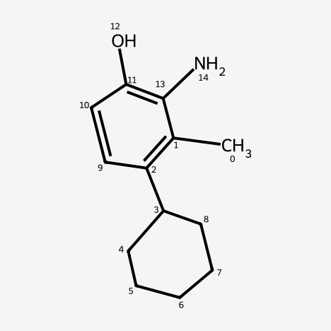 Cc1c(C2CCCCC2)ccc(O)c1N